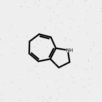 C1=CC2=C(C=CC1)NCC2